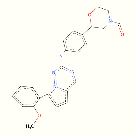 COc1ccccc1-c1ccc2cnc(Nc3ccc(C4CN(C=O)CCO4)cc3)nn12